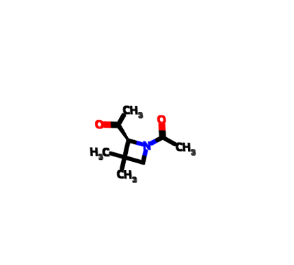 CC(=O)[C@H]1N(C(C)=O)CC1(C)C